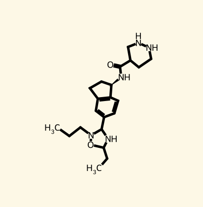 CCCN1OC(CC)NC1c1ccc2c(c1)CC[C@H]2NC(=O)C1CCNNC1